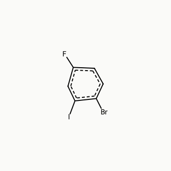 Fc1ccc(Br)c(I)c1